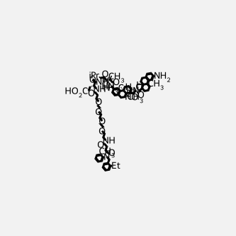 CCc1ccccc1CN(C(=O)CCC(=O)NCCOCCOCCOCCOCCC(=O)N[C@H](CCC(=O)O)C(=O)N[C@H](C(=O)N[C@@H](C)C(=O)Nc1ccc2c(c1)[C@@]1(C)CCC[C@](C)(C(=O)NC(=O)[C@@]3(C)CCC[C@]4(C)c5cc(N)ccc5CC[C@@H]34)[C@@H]1CC2)C(C)C)c1ccccc1C